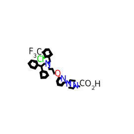 O=C(O)CN1CCN(c2cccc(OCCCN(Cc3cccc(C(F)(F)F)c3Cl)CC(c3ccccc3)c3ccccc3)n2)CC1